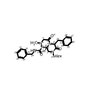 CCCCCCN1C[C@H]2N(C(=O)CN(C)N2C(=O)NCc2ccccc2)C(Cc2ccccc2)C1=O